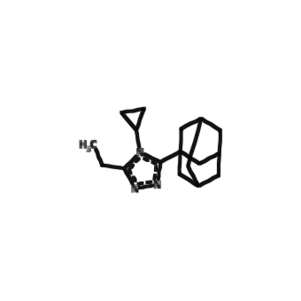 CCc1nnc(C23CC4CC(CC(C4)C2)C3)n1C1CC1